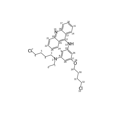 CCN(CCCCCl)c1cc(Nc2c3ccccc3nc3ccccc23)cc(OCCCCCl)c1